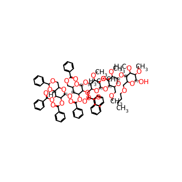 CCCCOCC1O[C@@H](O)C(OC)C(OC)[C@@H]1O[C@@H]1OC(COC)[C@@H](O[C@H]2OC(COC(=O)c3ccccc3)[C@@H](O[C@@H]3OC(COC(=O)c4ccccc4)[C@@H](O[C@H]4OC5COC(c6ccccc6)O[C@H]5C(OC(=O)c5ccccc5)C4OC(=O)c4ccccc4)C(OC(=O)c4ccccc4)C3OC(=O)c3ccccc3)C(OC)C2OC)C(OC)C1OC